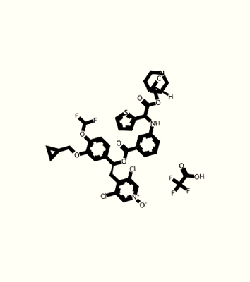 O=C(O)C(F)(F)F.O=C(O[C@@H](Cc1c(Cl)c[n+]([O-])cc1Cl)c1ccc(OC(F)F)c(OCC2CC2)c1)c1cccc(NC(C(=O)O[C@H]2CN3CCC2CC3)c2cccs2)c1